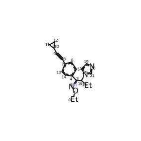 CCO/N=C(/c1ccc(C#CC2CC2)cc1)C(CC)n1ccnc1